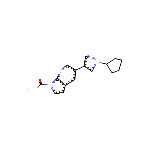 COC(=O)n1ccc2cc(-c3cnn(C4CCCC4)c3)cnc21